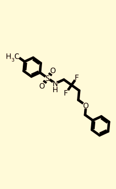 Cc1ccc(S(=O)(=O)NCC(F)(F)CCOCc2ccccc2)cc1